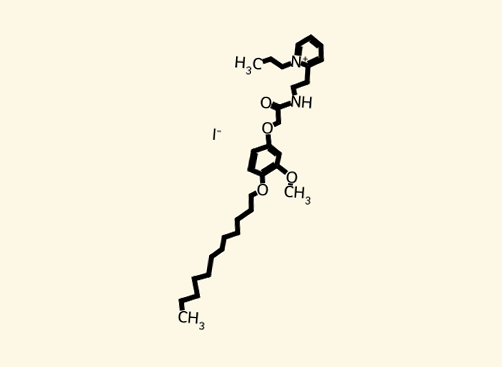 CCCCCCCCCCCCOc1ccc(OCC(=O)NCCc2cccc[n+]2CCC)cc1OC.[I-]